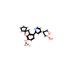 COc1ccc(-c2cc([C@@H]3COB(O)C3)ccn2)c2c1OC1(CCCC1)C2